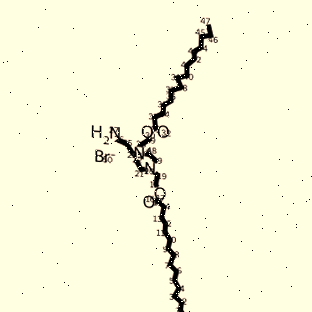 CCCCCCCCCCCCCCCC(=O)OCCN1CC[N+](CCCN)(CCOC(=O)CCCCCCCCCCCCCCC)CC1.[Br-]